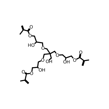 C=C(C)C(=O)OCC(O)COCC(CO)(COCC(O)COC(=O)C(=C)C)COCC(O)COC(=O)C(=C)C